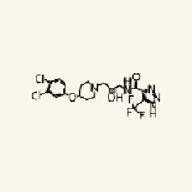 O=C(NC[C@@H](O)CN1CCC(Oc2ccc(Cl)c(Cl)c2)CC1)c1nn[nH]c1C(F)(F)F